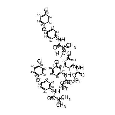 CC(C)OC(=O)Nc1cccc(Cl)c1.CC(C)OC(=O)Nc1cccc(Cl)c1.CN(C)C(=O)Nc1ccc(Oc2ccc(Cl)cc2)cc1.CN(C)C(=O)Nc1ccc(Oc2ccc(Cl)cc2)cc1